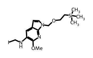 COc1nc2c(ccn2COCC[Si](C)(C)C)cc1NCI